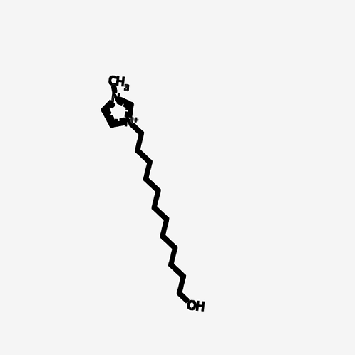 Cn1cc[n+](CCCCCCCCCCCCO)c1